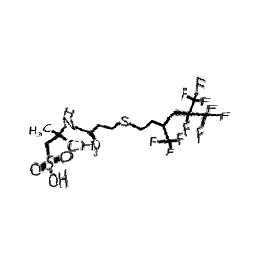 CC(C)(CS(=O)(=O)O)NC(=O)CCSCCC(CC(F)(C(F)(F)F)C(F)(F)F)C(F)(F)F